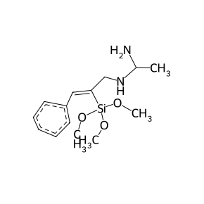 CO[Si](OC)(OC)C(=Cc1ccccc1)CNC(C)N